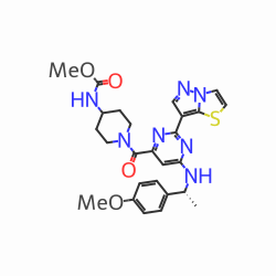 COC(=O)NC1CCN(C(=O)c2cc(N[C@H](C)c3ccc(OC)cc3)nc(-c3cnn4ccsc34)n2)CC1